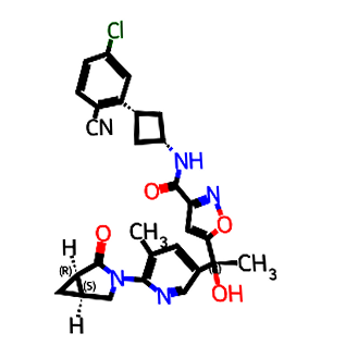 Cc1cc([C@@](C)(O)c2cc(C(=O)N[C@H]3C[C@@H](c4cc(Cl)ccc4C#N)C3)no2)cnc1N1C[C@H]2C[C@H]2C1=O